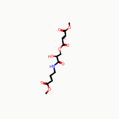 COC(=O)/C=C/C(=O)OCC(O)C(=O)NCCCC(=O)OC